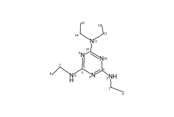 CCNc1nc(NCC)nc(N(CC)CC)n1